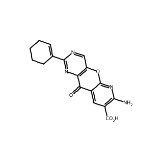 Nc1nc2oc3cnc(C4=CCCCC4)nc3c(=O)c2cc1C(=O)O